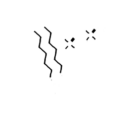 CCCCCCO.CCCCCCO.[O-]P([O-])([O-])=S.[O-]P([O-])([O-])=S.[Zn+2].[Zn+2].[Zn+2]